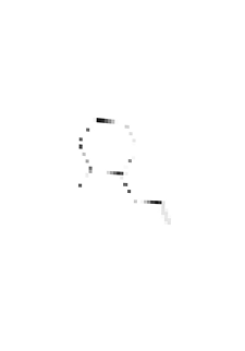 CC1CCCOC1N[C]=O